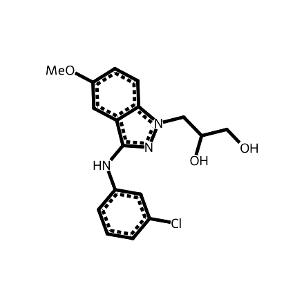 COc1ccc2c(c1)c(Nc1cccc(Cl)c1)nn2CC(O)CO